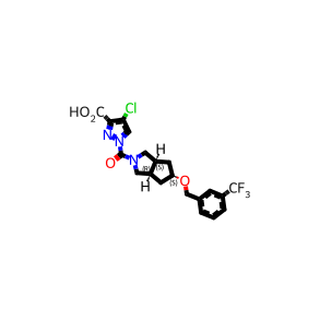 O=C(O)c1nn(C(=O)N2C[C@H]3C[C@H](OCc4cccc(C(F)(F)F)c4)C[C@H]3C2)cc1Cl